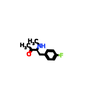 CN[C@@H](Cc1ccc(F)cc1)C(C)=O